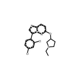 CCN1CCC(Oc2ccc3ncc(-c4ccc(Cl)cc4Cl)n3n2)C1